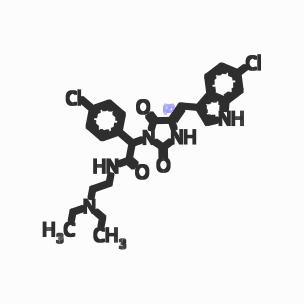 CCN(CC)CCNC(=O)C(c1ccc(Cl)cc1)N1C(=O)N/C(=C\c2c[nH]c3cc(Cl)ccc23)C1=O